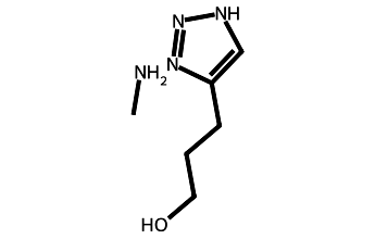 CN.OCCCc1c[nH]nn1